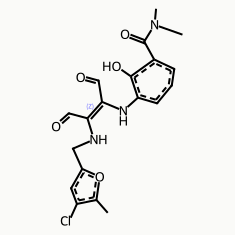 Cc1oc(CN/C(C=O)=C(/C=O)Nc2cccc(C(=O)N(C)C)c2O)cc1Cl